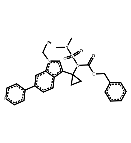 CC(C)Cn1cc(C2(N(C(=O)OCc3ccccc3)S(=O)(=O)N(C)C)CC2)c2ccc(-c3ccncc3)cc21